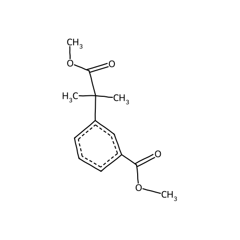 COC(=O)c1cccc(C(C)(C)C(=O)OC)c1